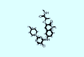 CNC(=O)C(C)Oc1cc2cc(Nc3nc(N4CCC(C)CC4)ncc3Cl)ccc2n(C)c1=O